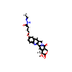 CC[C@@]1(O)C(=O)OCc2c1cc1n(c2=O)Cc2cc3cc(OCCCC(=O)N/N=C/C(C)C)ccc3nc2-1